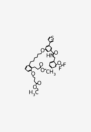 CCOC(=O)CCCOc1cccc(CCCCCCOc2cc(C(=O)NCc3ccccc3OC(F)F)cc(-c3ccsc3)c2)c1CCC(=O)OCC